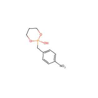 O=[N+]([O-])c1ccc(C[P]2(O)OCCCO2)cc1